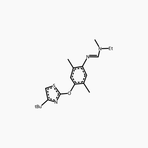 CCN(C)C=Nc1cc(C)c(Oc2nc(C(C)(C)C)cs2)cc1C